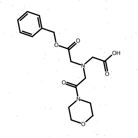 O=C(O)CN(CC(=O)OCc1ccccc1)CC(=O)N1CCOCC1